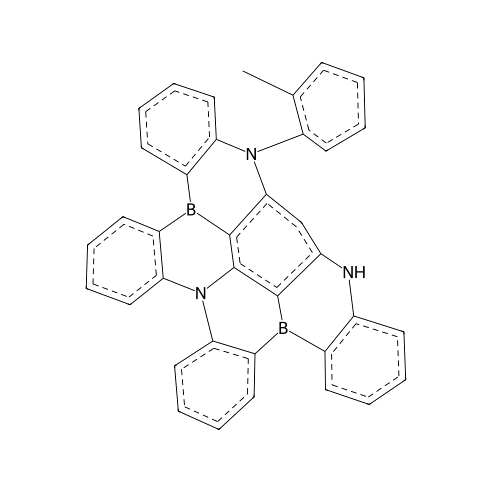 Cc1ccccc1N1c2ccccc2B2c3ccccc3N3c4ccccc4B4c5ccccc5Nc5cc1c2c3c54